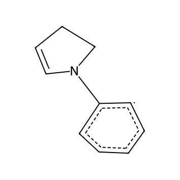 [c]1ccccc1N1C=CCC1